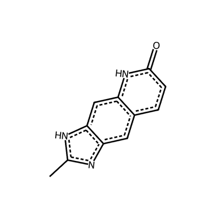 Cc1nc2cc3ccc(=O)[nH]c3cc2[nH]1